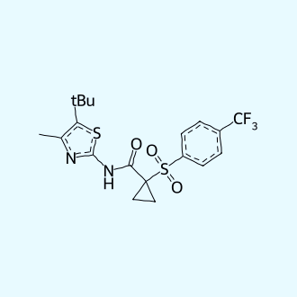 Cc1nc(NC(=O)C2(S(=O)(=O)c3ccc(C(F)(F)F)cc3)CC2)sc1C(C)(C)C